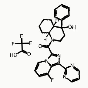 O=C(O)C(F)(F)F.O=C(c1nc(-c2ncccn2)c2c(F)cccn12)N1CCC(O)(c2ccccc2)[C@H]2CCCC[C@H]21